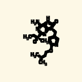 CC[P@@](C)(=O)c1nc(N)c2[nH]c(=O)n(Cc3ccc(OCCN(C)C)nc3)c2n1